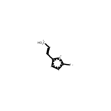 O=C(O)C=Cc1ccc(F)s1